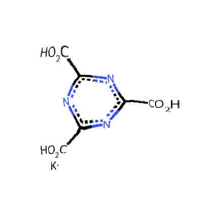 O=C(O)c1nc(C(=O)O)nc(C(=O)O)n1.[K]